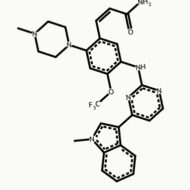 CN1CCN(c2cc(OC(F)(F)F)c(Nc3nccc(-c4cn(C)c5ccccc45)n3)cc2C=CC(N)=O)CC1